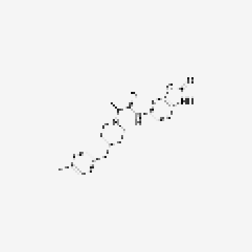 CC(C(=O)Nc1ccc2[nH]c(=O)oc2c1)N1CCC(Cc2ccc(F)cc2)CC1